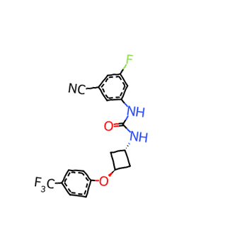 N#Cc1cc(F)cc(NC(=O)N[C@H]2C[C@H](Oc3ccc(C(F)(F)F)cc3)C2)c1